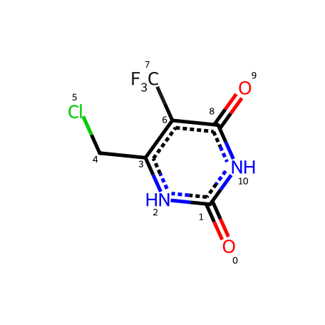 O=c1[nH]c(CCl)c(C(F)(F)F)c(=O)[nH]1